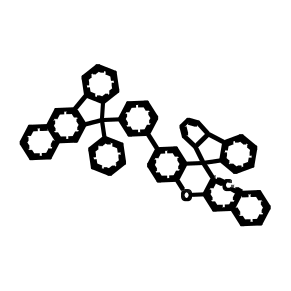 C1=CC2c3ccccc3C3(c4cc(-c5cccc(C6(c7ccccc7)c7ccccc7-c7cc8ccccc8cc76)c5)ccc4Oc4cc5ccccc5cc43)C2C=C1